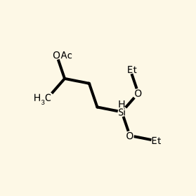 CCO[SiH](CCC(C)OC(C)=O)OCC